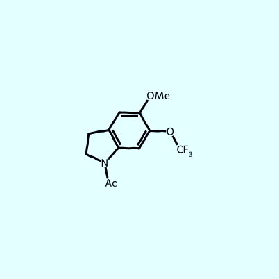 COc1cc2c(cc1OC(F)(F)F)N(C(C)=O)CC2